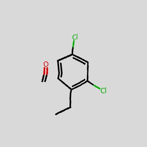 C=O.CCc1ccc(Cl)cc1Cl